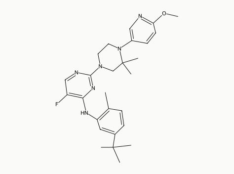 COc1ccc(N2CCN(c3ncc(F)c(Nc4cc(C(C)(C)C)ccc4C)n3)CC2(C)C)cn1